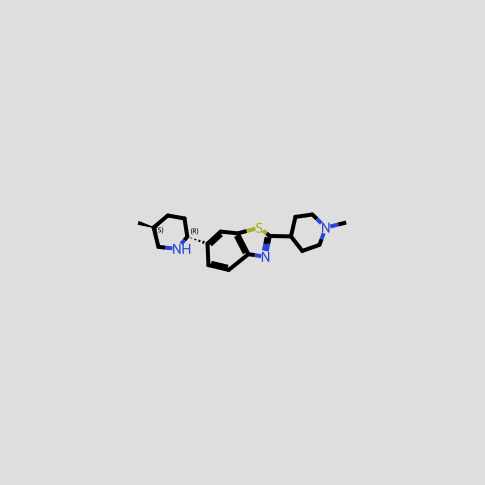 C[C@H]1CC[C@H](c2ccc3nc(C4CCN(C)CC4)sc3c2)NC1